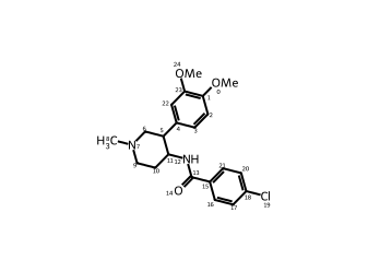 COc1ccc(C2CN(C)CCC2NC(=O)c2ccc(Cl)cc2)cc1OC